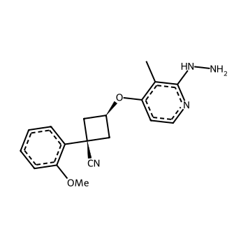 COc1ccccc1[C@]1(C#N)C[C@@H](Oc2ccnc(NN)c2C)C1